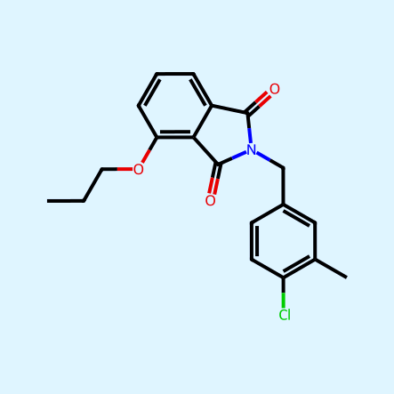 CCCOc1cccc2c1C(=O)N(Cc1ccc(Cl)c(C)c1)C2=O